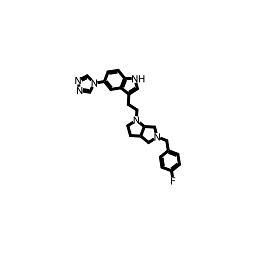 Fc1ccc(CN2CC3CCN(CCc4c[nH]c5ccc(-n6cnnc6)cc45)C3C2)cc1